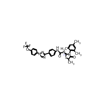 Cc1cc(C)c(N2C(=O)C(C)S/C2=N\C(=O)Nc2ccc(-c3ncn(-c4ccc(OC(F)(F)F)cc4)n3)cc2)c(C)c1